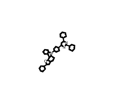 c1ccc(-c2cc(-c3ccc(-n4c5ccccc5c5c6oc(-c7ccccc7)cc6ccc54)cc3)nc(-c3ccccc3)n2)cc1